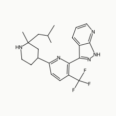 CC(C)CC1(C)CC(c2ccc(C(F)(F)F)c(-c3n[nH]c4ncccc34)n2)CCN1